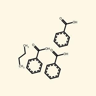 CCCC.O=C(O)c1ccccc1.O=C(O)c1ccccc1.O=C(O)c1ccccc1